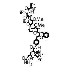 CC[C@H](C)[C@@H]([C@@H](CC(=O)N1CCC[C@H]1[C@H](OC)[C@@H](C)C(=O)[C@@H](Cc1ccccc1)C(=O)Cc1ccc(NC(=O)[C@H](CCCNC(N)=O)NC(=O)[C@@H](N)C(C)C)cc1)OC)N(C)C(=O)[C@@H](NC(=O)[C@H](C(C)C)N(C)C)C(C)C